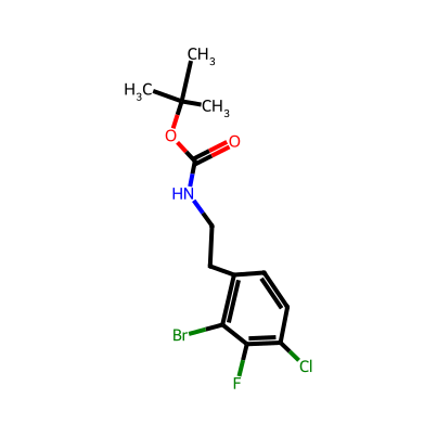 CC(C)(C)OC(=O)NCCc1ccc(Cl)c(F)c1Br